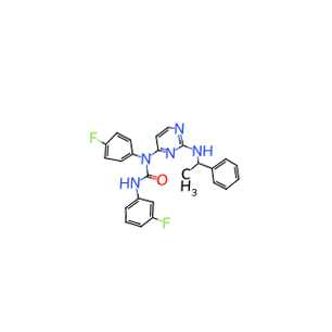 CC(Nc1nccc(N(C(=O)Nc2cccc(F)c2)c2ccc(F)cc2)n1)c1ccccc1